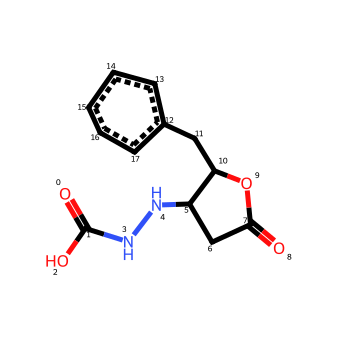 O=C(O)NNC1CC(=O)OC1Cc1ccccc1